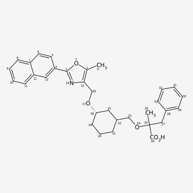 Cc1oc(-c2ccc3ccccc3c2)nc1CO[C@H]1CCCC(COC(C)(Cc2ccccc2)C(=O)O)C1